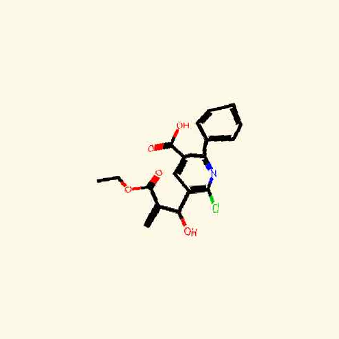 C=C(C(=O)OCC)C(O)c1cc(C(=O)O)c(-c2ccccc2)nc1Cl